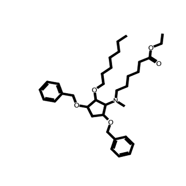 CCCCCCCOC1C(OCc2ccccc2)CC(OCc2ccccc2)C1N(C)CCCCCC(=O)OCC